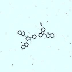 N#Cc1ccc2c(c1)c1cc(-c3ccc(-c4nc(-c5ccc6ccccc6c5)nc(-c5ccc6ccccc6c5)n4)cc3)ccc1n2-c1ccc2ccccc2n1